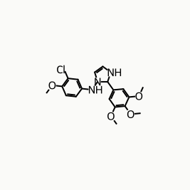 COc1ccc(NN2C=CNC2c2cc(OC)c(OC)c(OC)c2)cc1Cl